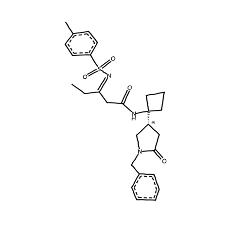 CCC(CC(=O)NC1([C@@H]2CC(=O)N(Cc3ccccc3)C2)CCC1)=NS(=O)(=O)c1ccc(C)cc1